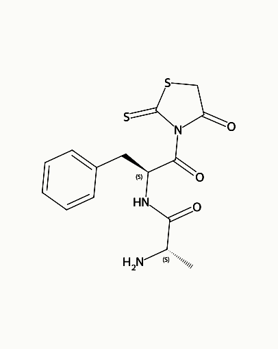 C[C@H](N)C(=O)N[C@@H](Cc1ccccc1)C(=O)N1C(=O)CSC1=S